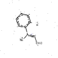 N#C/C(=C\C(=O)[O-])c1ccccc1.[K+]